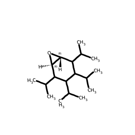 CC(C)C1C(C(C)C)C(C(C)C)[C@H]2O[C@@H]2C1C(C)C